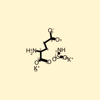 N=S(=O)=O.NC(CCC(=O)[O-])C(=O)[O-].[K+].[K+]